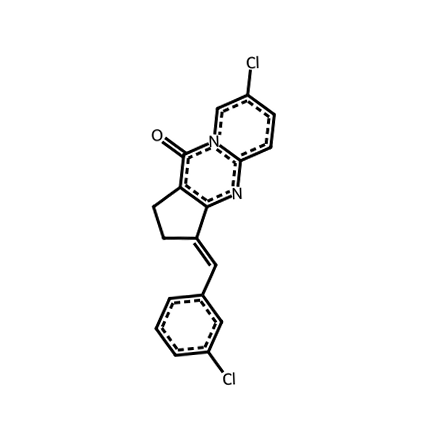 O=c1c2c(nc3ccc(Cl)cn13)C(=Cc1cccc(Cl)c1)CC2